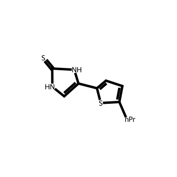 CCCc1ccc(-c2c[nH]c(=S)[nH]2)s1